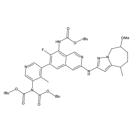 COC1CCC(C)c2cc(Nc3cc4cc(-c5cncc(N(C(=O)OC(C)(C)C)C(=O)OC(C)(C)C)c5C)c(F)c(NC(=O)OC(C)(C)C)c4cn3)nn2C1